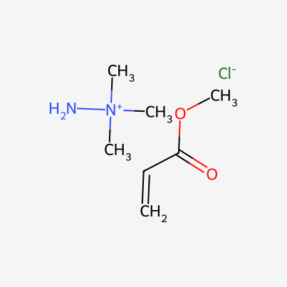 C=CC(=O)OC.C[N+](C)(C)N.[Cl-]